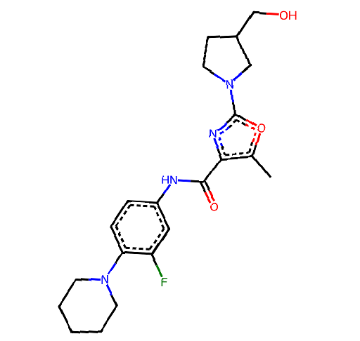 Cc1oc(N2CCC(CO)C2)nc1C(=O)Nc1ccc(N2CCCCC2)c(F)c1